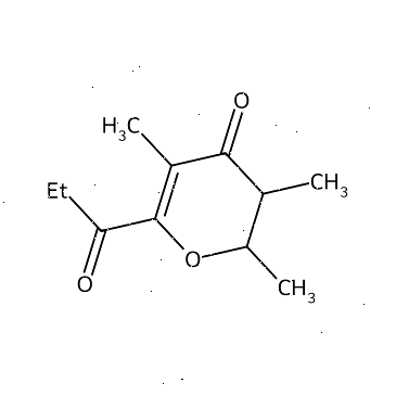 CCC(=O)C1=C(C)C(=O)C(C)C(C)O1